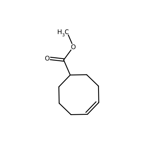 COC(=O)C1CC/C=C\CCC1